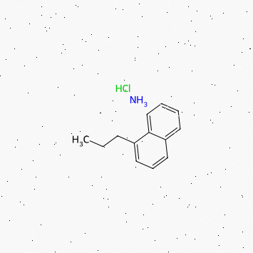 CCCc1cccc2ccccc12.Cl.N